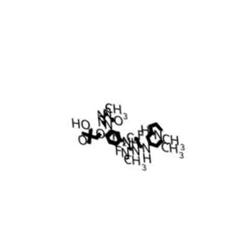 C=C(F)/C(=N\C(=N/C)Nc1cc(-n2nnn(C)c2=O)c(OCC2(CO)COC2)cc1F)N[C@@H]1C[C@@H]2CCCN2C(C)(C)C1